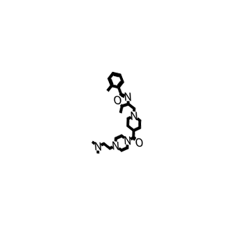 Cc1ccccc1C1=NC(CN2CCC(C(=O)N3CCN(CCN(C)C)CC3)CC2)C(C)O1